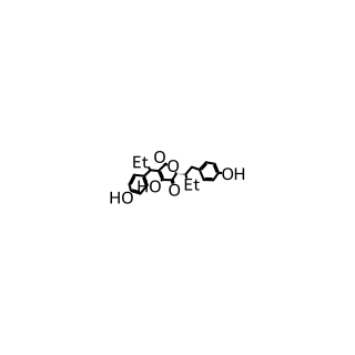 CCC(C1=C(O)C(=O)[C@@H](C(CC)Cc2ccc(O)cc2)OC1=O)c1ccc(O)cc1